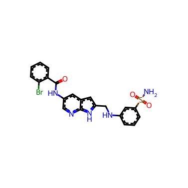 NS(=O)(=O)c1cccc(NCc2cc3cc(NC(=O)c4ccccc4Br)cnc3[nH]2)c1